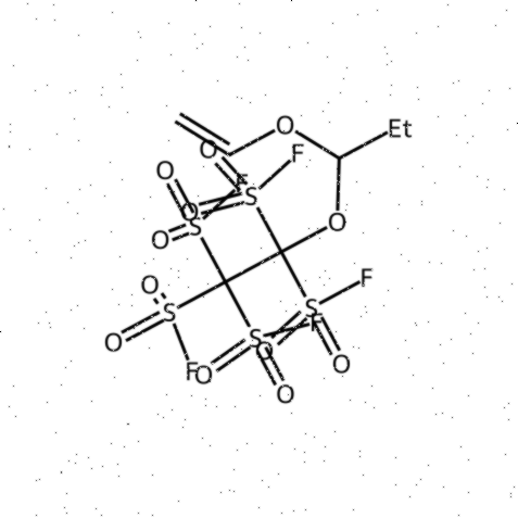 C=COC(CC)OC(C(S(=O)(=O)F)(S(=O)(=O)F)S(=O)(=O)F)(S(=O)(=O)F)S(=O)(=O)F